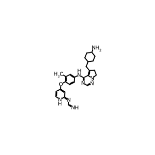 Cc1cc(NC2=NC=NN3CCC(CC4CCC(N)CC4)=C23)ccc1Oc1cc[nH]/c(=N\C=N)c1